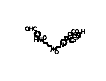 CN(CCCCC(=O)Nc1ccc(C=O)cc1)C(=O)CCN1CCC2(CC1)CC(OC(C(=O)O)(c1cccs1)c1cccs1)C2